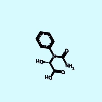 NC(=O)N(c1ccccc1)[C@@H](O)C(=O)O